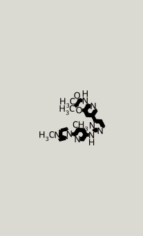 Cc1cc(Nc2nccc(-c3cnc4c(c3)OC(C)(C)C(=O)N4)n2)cnc1N1CC2CC1CN2C